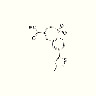 Cc1csc(-c2ccc3c(c2)C=C(C(=O)O)CCS3(=O)=O)c1